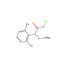 CCc1cccc(CC)c1C(COC)C(=O)CCl